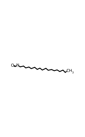 CCCCCCCCCCCCCCCCCC[N]C=O